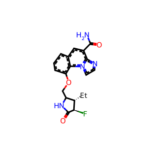 CC[C@H]1C(COc2cccc3cc(C(N)=O)c4nccn4c23)NC(=O)[C@@H]1F